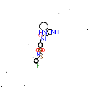 O=C(NCc1ccc(S(=O)(=O)c2csc(-c3cccc(F)c3)n2)cc1)C1CC2CNCCC2(C2CCCCCCCCC2)N1